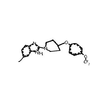 Cc1ccc2nc(N3CCC(Oc4ccc(OC(F)(F)F)cc4)CC3)[nH]c2c1